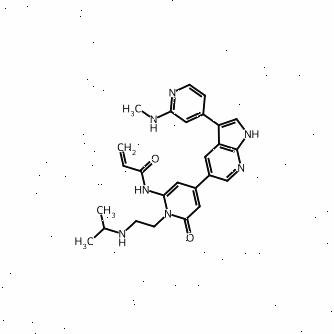 C=CC(=O)Nc1cc(-c2cnc3[nH]cc(-c4ccnc(NC)c4)c3c2)cc(=O)n1CCNC(C)C